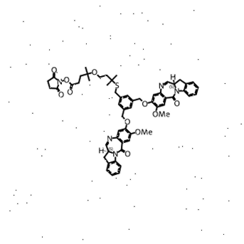 COc1cc2c(cc1OCc1cc(COc3cc4c(cc3OC)C(=O)N3c5ccccc5C[C@H]3C=N4)cc(CSC(C)(C)CCOC(C)(C)CCC(=O)ON3C(=O)CCC3=O)c1)N=C[C@@H]1Cc3ccccc3N1C2=O